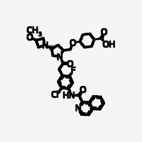 COC1CN([C@H]2CC(CO[C@H]3CC[C@H](C(=O)O)CC3)N(C(=O)Cc3cc(Cl)c(NC(=O)c4nccc5ccccc45)cc3F)C2)C1